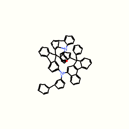 c1ccc(-c2cccc(N(c3ccc4c(c3)C3(c5ccccc5-4)c4ccccc4-n4c5ccccc5c5cccc3c54)c3cc4c(c5ccccc35)-c3ccccc3C4(c3ccccc3)c3ccccc3)c2)cc1